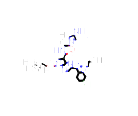 C=CCn1nc(-c2cnc3c(n2)c(C(=O)N[C@H](C)C(=O)N2CC(N)C2)cn3COCC[Si](C)(C)C)c2ccc(Cl)cc21